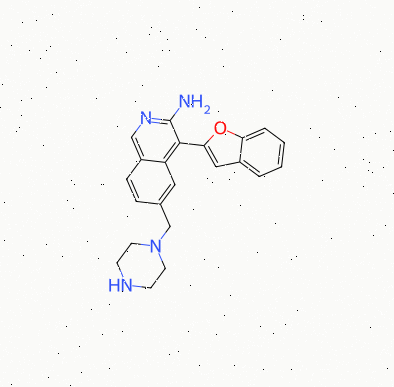 Nc1ncc2ccc(CN3CCNCC3)cc2c1-c1cc2ccccc2o1